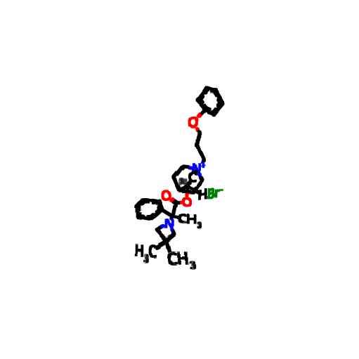 CC1(C)CN(C(C)(C(=O)O[C@H]2C[N+]3(CCCOc4ccccc4)CCC2CC3)c2ccccc2)C1.[Br-]